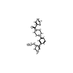 CN1C=C(c2cccc(N3CCN(C(=O)c4cncs4)CC3)c2)N(CC(C)(C)C)C1